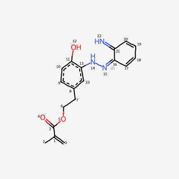 C=C(C)C(=O)OCCc1ccc(O)c(N/N=C2/C=CC=CC2=N)c1